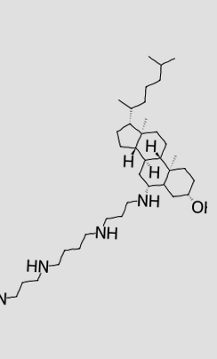 CC(C)CCCC(C)[C@H]1CC[C@H]2[C@@H]3C[C@@H](NCCCNCCCCNCCCN)C4C[C@@H](O)CC[C@]4(C)[C@H]3CC[C@]12C